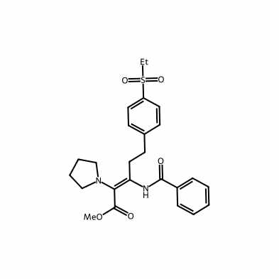 CCS(=O)(=O)c1ccc(CC/C(NC(=O)c2ccccc2)=C(/C(=O)OC)N2CCCC2)cc1